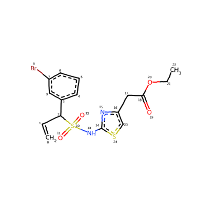 C=CC(c1cccc(Br)c1)S(=O)(=O)Nc1nc(CC(=O)OCC)cs1